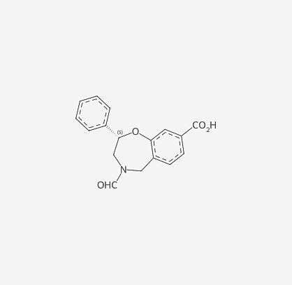 O=CN1Cc2ccc(C(=O)O)cc2O[C@@H](c2ccccc2)C1